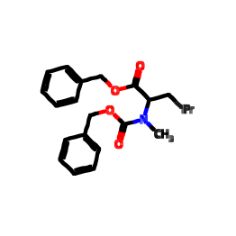 CC(C)CC(C(=O)OCc1ccccc1)N(C)C(=O)OCc1ccccc1